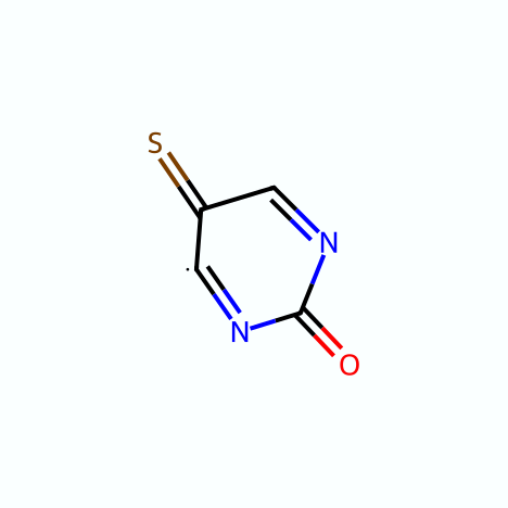 O=C1N=[C]C(=S)C=N1